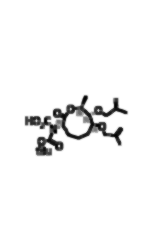 C=C(C)CO[C@H]1[C@H](C)OC(=O)[C@@H](N(C(=O)O)C(=O)OC(C)(C)C)CCC[C@@H]1OCC(=C)C